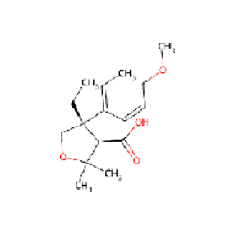 C/C=C(\C=C/COC)[C@@]1(CC)COC(C)(C)[C@@H]1C(=O)O